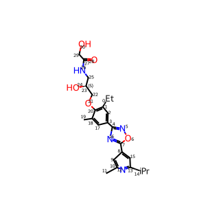 CCc1cc(-c2noc(-c3cc(C)nc(C(C)C)c3)n2)cc(C)c1OC[C@@H](O)CNC(=O)CO